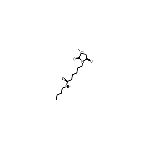 CCCCNC(=O)CCCCCN1C(=O)C[C@@H](C)C1=O